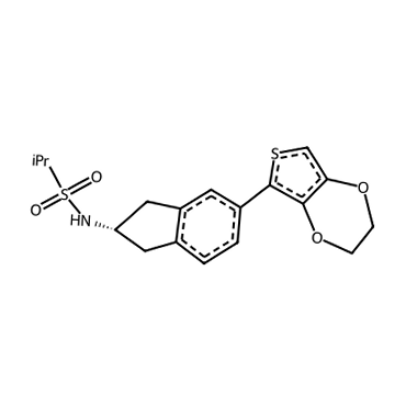 CC(C)S(=O)(=O)N[C@H]1Cc2ccc(-c3scc4c3OCCO4)cc2C1